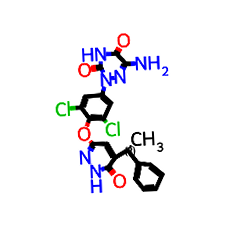 C[C@H](c1ccccc1)c1cc(Oc2c(Cl)cc(-n3nc(N)c(=O)[nH]c3=O)cc2Cl)n[nH]c1=O